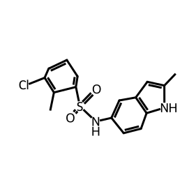 Cc1cc2cc(NS(=O)(=O)c3cccc(Cl)c3C)ccc2[nH]1